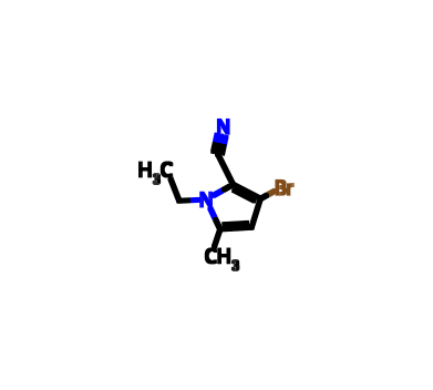 CCn1c(C)cc(Br)c1C#N